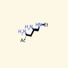 CCN/C=C(\N)C[C@@H](N)C(C)=O